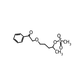 CC(CCCOCC(=O)c1ccccc1)OS(C)(=O)=O